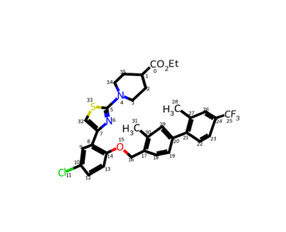 CCOC(=O)C1CCN(c2nc(-c3cc(Cl)ccc3OCc3ccc(-c4ccc(C(F)(F)F)cc4C)cc3C)cs2)CC1